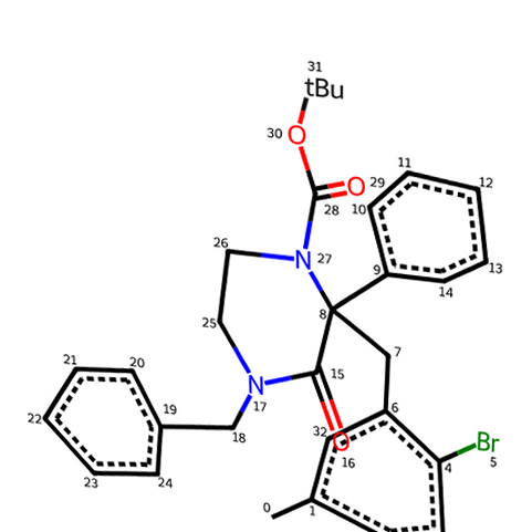 Cc1ccc(Br)c(CC2(c3ccccc3)C(=O)N(Cc3ccccc3)CCN2C(=O)OC(C)(C)C)c1